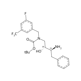 CC(C)(C)OC(=O)N(Cc1cc(F)cc(C(F)(F)F)c1)C[C@@H](O)[C@@H](N)Cc1ccccc1